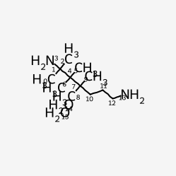 CC(C)(N)C(C)(C)C(C)(C)CCCN.O.O